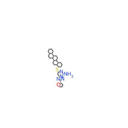 Nc1nc(Sc2cccc3c2ccc2c3ccc3c4ccccc4ccc32)cc2nc(-c3ccco3)nn12